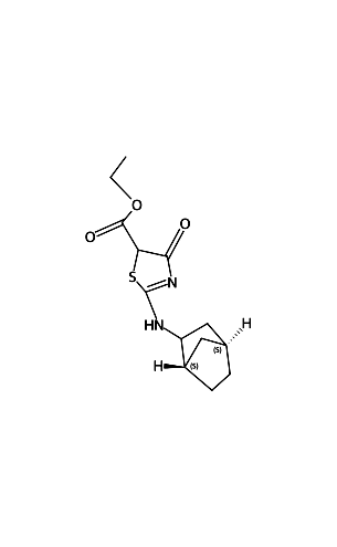 CCOC(=O)C1SC(NC2C[C@H]3CC[C@H]2C3)=NC1=O